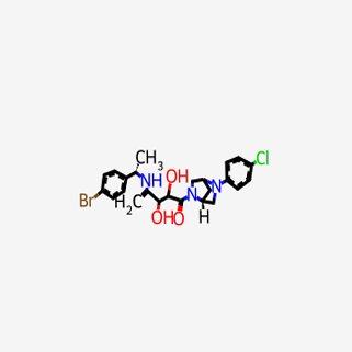 C=C(N[C@@H](C)c1ccc(Br)cc1)C(O)C(O)C(=O)N1CC2C[C@@H]1CN2c1ccc(Cl)cc1